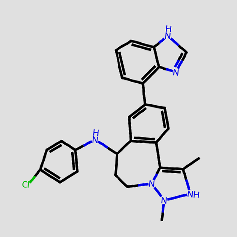 CC1=C2c3ccc(-c4cccc5[nH]cnc45)cc3C(Nc3ccc(Cl)cc3)CCN2N(C)N1